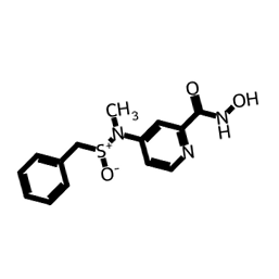 CN(c1ccnc(C(=O)NO)c1)[S+]([O-])Cc1ccccc1